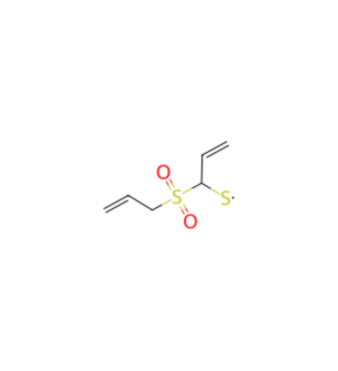 C=CCS(=O)(=O)C([S])C=C